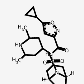 CC1CC(CS(=O)(=O)N2[C@@H]3CC[C@H]2C[C@@H](NC(=O)c2cc(C4CC4)on2)C3)CC(C)N1